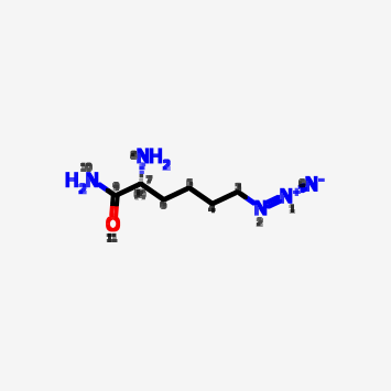 [N-]=[N+]=NCCCC[C@@H](N)C(N)=O